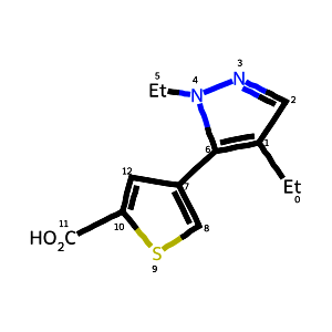 CCc1cnn(CC)c1-c1csc(C(=O)O)c1